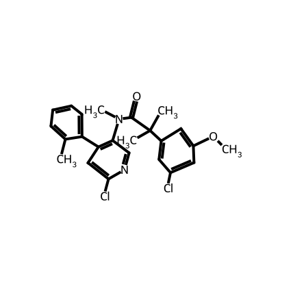 COc1cc(Cl)cc(C(C)(C)C(=O)N(C)c2cnc(Cl)cc2-c2ccccc2C)c1